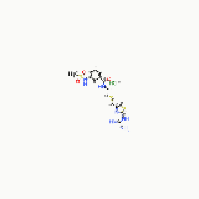 CS(=O)(=O)Nc1cccc(C(=O)NCCSCc2csc(NC(=N)N)n2)c1.Cl